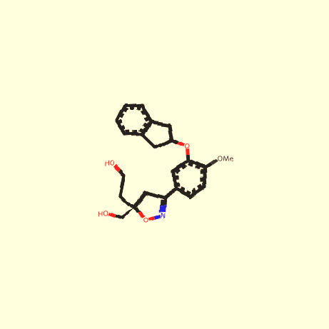 COc1ccc(C2=NO[C@](CO)(CCO)C2)cc1OC1Cc2ccccc2C1